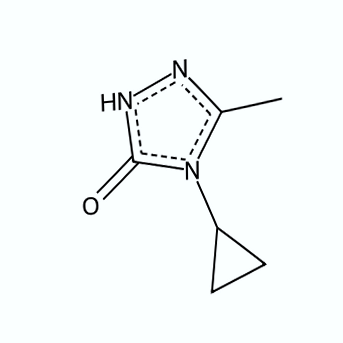 Cc1n[nH]c(=O)n1C1CC1